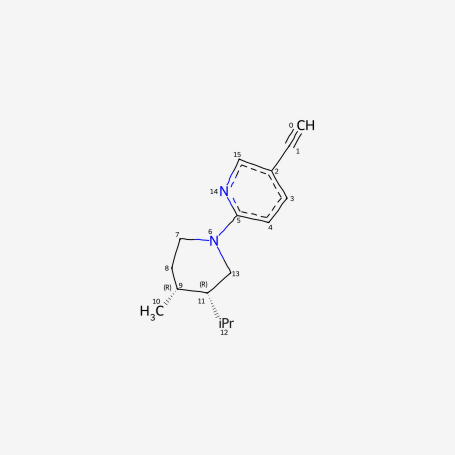 C#Cc1ccc(N2CC[C@@H](C)[C@@H](C(C)C)C2)nc1